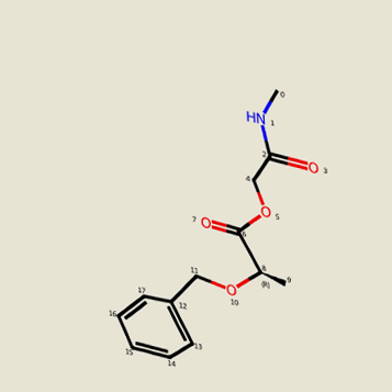 CNC(=O)COC(=O)[C@@H](C)OCc1ccccc1